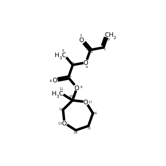 C=CC(=O)OC(C)C(=O)OC1(C)COCCCO1